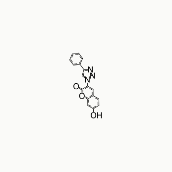 O=c1oc2cc(O)ccc2cc1-n1cc(-c2ccccc2)nn1